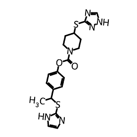 CC(Sc1ncc[nH]1)c1ccc(OC(=O)N2CCC(Sc3nc[nH]n3)CC2)cc1